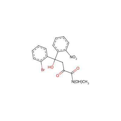 CN(O)C(=O)C(=O)CC(O)(c1ccccc1Br)c1ccccc1[N+](=O)[O-]